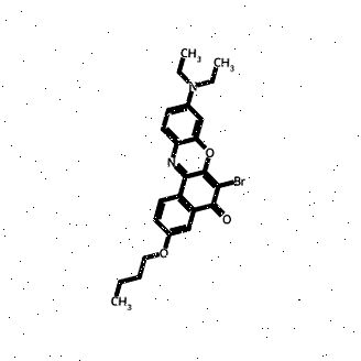 CCCCOc1ccc2c3nc4ccc(N(CC)CC)cc4oc-3c(Br)c(=O)c2c1